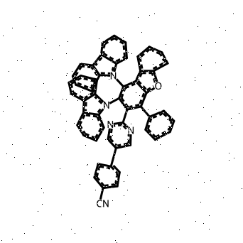 N#Cc1ccc(-c2cnc(-c3c(-n4c5ccccc5c5ccccc54)c(-n4c5ccccc5c5ccccc54)c4c(oc5ccccc54)c3-c3ccccc3)nc2)cc1